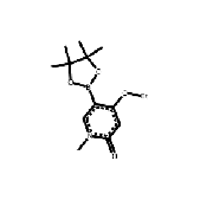 CCOc1cc(=O)n(C)cc1B1OC(C)(C)C(C)(C)O1